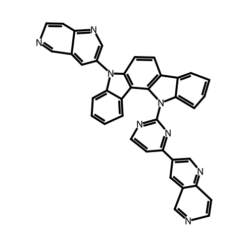 c1ccc2c(c1)c1c(ccc3c4ccccc4n(-c4nccc(-c5cnc6ccncc6c5)n4)c31)n2-c1cnc2ccncc2c1